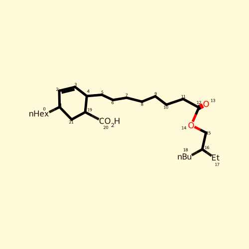 CCCCCCC1C=CC(CCCCCCCC(=O)OCC(CC)CCCC)C(C(=O)O)C1